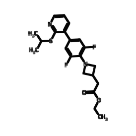 CCOC(=O)CC1CN(c2c(F)cc(-c3cccnc3SC(C)C)cc2F)C1